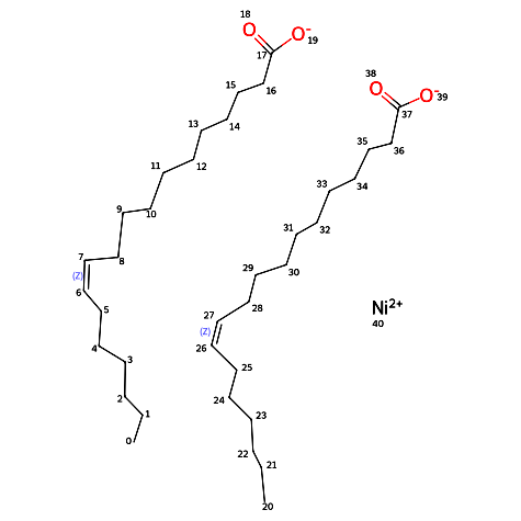 CCCCCC/C=C\CCCCCCCCCC(=O)[O-].CCCCCC/C=C\CCCCCCCCCC(=O)[O-].[Ni+2]